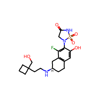 O=C1CN(c2c(O)cc3c(c2F)C[C@H](NCCC2(CO)CCC2)CC3)S(=O)(=O)N1